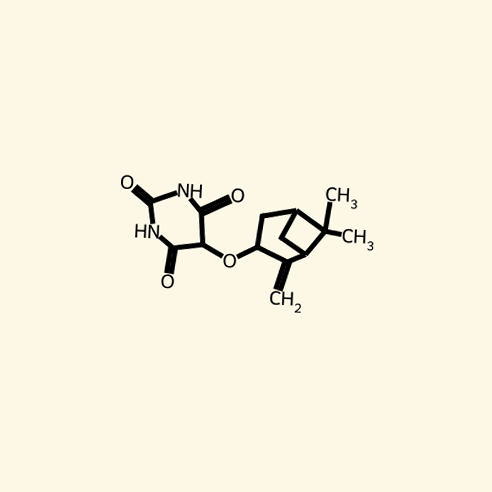 C=C1C(OC2C(=O)NC(=O)NC2=O)CC2CC1C2(C)C